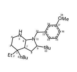 CCCCC1(CC)CCNC2C1CC(C(C)(C)C)N2Cc1cccc(OC)c1